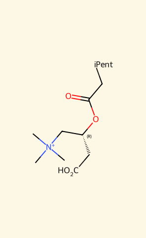 CCCC(C)CC(=O)O[C@H](CC(=O)O)C[N+](C)(C)C